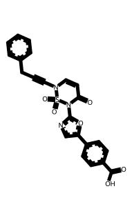 O=C(O)c1ccc(-c2cnc(N3C(=O)C=CN(C#CCc4ccccc4)S3(=O)=O)o2)cc1